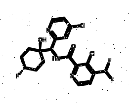 O=C(NC(c1cc(Cl)ccn1)[C@]1(O)CC[C@H](F)CC1)c1nccc(C(F)F)c1Cl